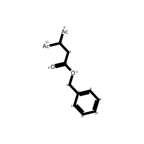 CC(=O)C(CC(=O)OCc1ccccc1)C(C)=O